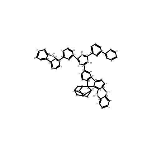 c1ccc(-c2cccc(-c3nc(-c4cccc(-c5cccc6c5oc5ccccc56)c4)nc(-c4ccc5c(c4)-c4ccc6c(c4C54C5CC7CC(C5)CC4C7)Oc4ccccc4S6)n3)c2)cc1